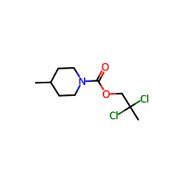 CC1CCN(C(=O)OCC(C)(Cl)Cl)CC1